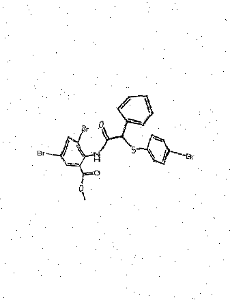 COC(=O)c1cc(Br)cc(Br)c1NC(=O)C(Sc1ccc(Br)cc1)c1ccccc1